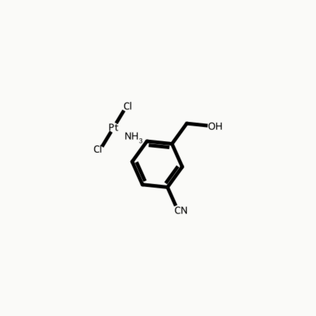 N.N#Cc1cccc(CO)c1.[Cl][Pt][Cl]